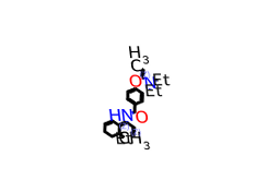 C/C=C(\Oc1ccc(C(=O)NC(/C=C\CC)=C2\C=CCCC2C)cc1)N(CC)CC